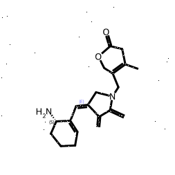 C=C1C(=C)N(CC2=C(C)CC(=O)OC2)C/C1=C/C1=CCCC[C@@H]1N